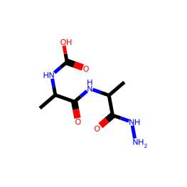 CC(NC(=O)O)C(=O)NC(C)C(=O)NN